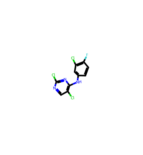 Fc1ccc(Nc2nc(Cl)ncc2Cl)cc1Cl